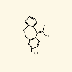 CC(C#N)=C1c2ccccc2OCc2nc(C(=O)O)ccc21